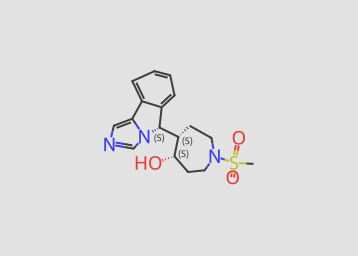 CS(=O)(=O)N1CC[C@@H]([C@H]2c3ccccc3-c3cncn32)[C@@H](O)CC1